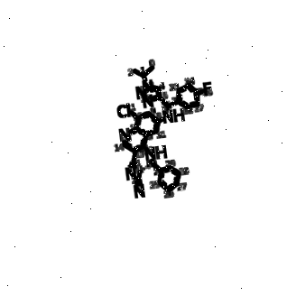 CC(C)n1cc([C@@H](Nc2cc(Cl)c3ncc(C#N)c(N[C@@H](CC#N)c4ccccc4)c3c2)c2ccc(F)cc2)nn1